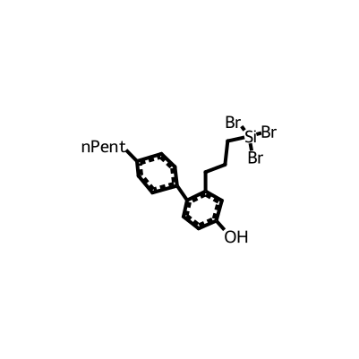 CCCCCc1ccc(-c2ccc(O)cc2CCC[Si](Br)(Br)Br)cc1